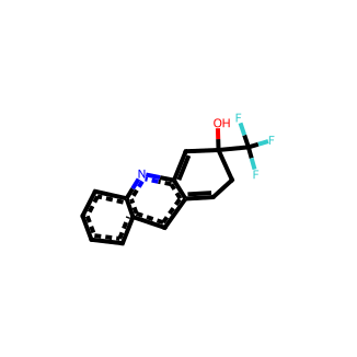 OC1(C(F)(F)F)C=c2nc3ccccc3cc2=CC1